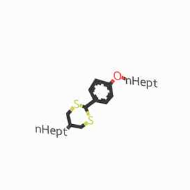 CCCCCCCOc1ccc(C2SCC(CCCCCCC)CS2)cc1